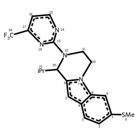 CSc1ccc2cc3n(c2c1)CCN(c1nccc(C(F)(F)F)n1)C3C(C)C